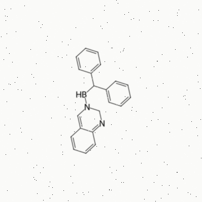 B(C(c1ccccc1)c1ccccc1)N1C=c2ccccc2=NC1